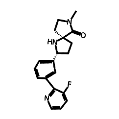 CN1CC[C@@]2(CC[C@H](c3cccc(-c4ncccc4F)c3)N2)C1=O